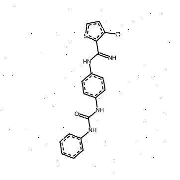 N=C(Nc1ccc(NC(=O)Nc2ccccc2)cc1)c1sccc1Cl